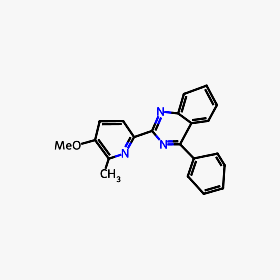 COc1ccc(-c2nc(-c3ccccc3)c3ccccc3n2)nc1C